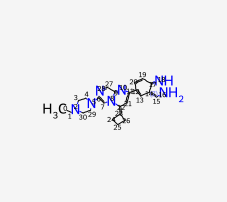 CCN1CCN(C2=CN3C(=NC(C4=C/C(=C/N)C(=N)C=C4)=CC3=C3CCC3)C=N2)CC1